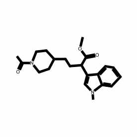 COC(=O)C(CCC1CCN(C(C)=O)CC1)c1cn(C)c2ccccc12